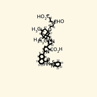 Cc1c(-c2ccc(-c3ccc4cccc(C(=O)Nc5nc6ccccc6s5)c4c3)nc2C(=O)O)cnn1CC12CC3(OCCN(C=O)CCC(=O)O)CC4(C)CC(C)(C1)C2(C4)C3